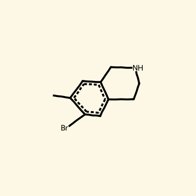 Cc1cc2c(cc1Br)CCNC2